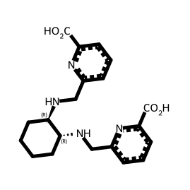 O=C(O)c1cccc(CN[C@@H]2CCCC[C@H]2NCc2cccc(C(=O)O)n2)n1